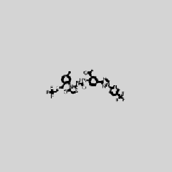 CC(=O)c1cc(-c2ncn(-c3ccc(C(F)(F)F)cn3)n2)ccc1NC(=O)/N=C1\SCC(=O)N1c1cc(C)ccc1COCC(F)(F)F